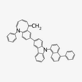 C=C1/C=C\C=C/N(c2ccccc2)c2ccc(-c3ccc4c(c3)c3ccccc3n4-c3cccc4c(-c5ccccc5)cccc34)cc21